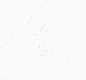 CC(=O)Nc1ccc2c(c1)NC(=O)C2=Cc1ccc2cn[nH]c2c1